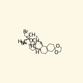 C[C@]12CC=C3C4=C(CC[C@H]3[C@@H]1CC[C@@]2(C#N)O[Si](C)(C)CBr)CC1(CC4)OCCO1